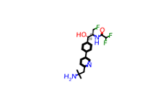 CC(C)(N)Cc1ccc(-c2ccc([C@H](O)[C@@H](CF)NC(=O)C(F)F)cc2)cn1